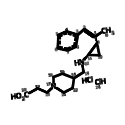 CC(=Cc1ccccc1)[C@@H]1C[C@H]1NCC1CCN(CCC(=O)O)CC1.Cl.Cl